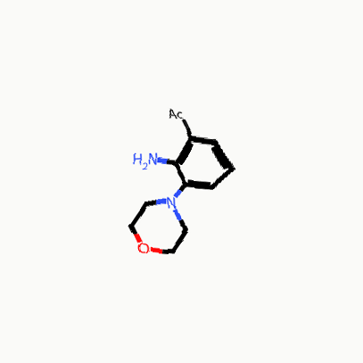 CC(=O)c1cccc(N2CCOCC2)c1N